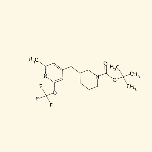 Cc1cc(CC2CCCN(C(=O)OC(C)(C)C)C2)cc(OC(F)(F)F)n1